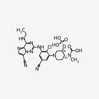 CCNc1nc(Nc2cc(C#N)cc(N3CC[C@@H](N(C)C(=O)O)[C@H](OP(=O)(O)O)C3)c2Cl)nn2c(C#N)cnc12